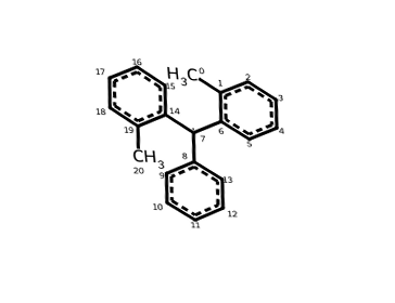 Cc1ccccc1[C](c1ccccc1)c1ccccc1C